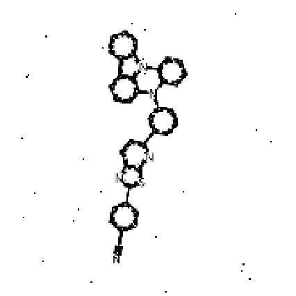 N#Cc1ccc(-c2nc3ccc(-c4cccc(N5c6ccccc6-n6c7ccccc7c7cccc5c76)c4)nc3s2)cc1